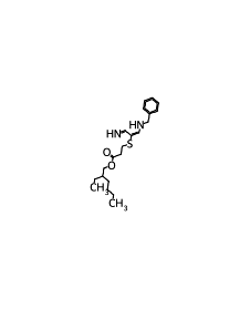 CCCCC(CC)COC(=O)CCS/C(C=N)=C/NCc1ccccc1